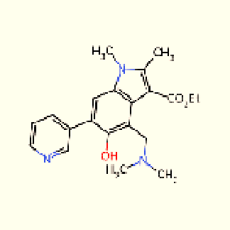 CCOC(=O)c1c(C)n(C)c2cc(-c3cccnc3)c(O)c(CN(C)C)c12